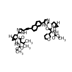 COC(=O)NC(C(=O)N1[C@@H]2C[C@@H]2C[C@H]1c1ncc(C#Cc2ccc3cc(-c4cnc([C@@H]5C[C@H]6C[C@H]6N5C(=O)[C@@H](NC(=O)OC)[C@@H]5CCCOC5)[nH]4)ccc3c2)[nH]1)C(C)C